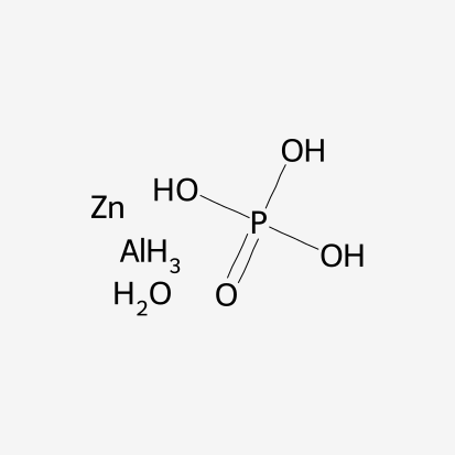 O.O=P(O)(O)O.[AlH3].[Zn]